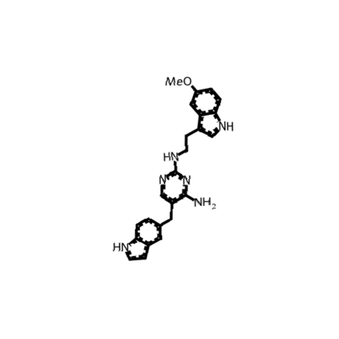 COc1ccc2[nH]cc(CCNc3ncc(Cc4ccc5[nH]ccc5c4)c(N)n3)c2c1